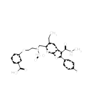 CCc1cc2c(C(=O)NC)c(-c3ccc(F)cc3)oc2nc1CN(CCOc1cccc(C(=O)O)c1)[SH](=O)=O